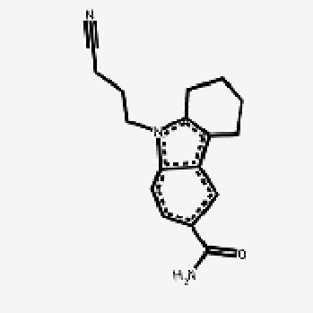 N#CCCCn1c2c(c3cc(C(N)=O)ccc31)CCCC2